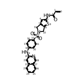 C=CC(=O)Nc1cc2c(s1)CN(S(=O)(=O)c1ccc(Nc3cc4ccccc4cn3)cc1)C2